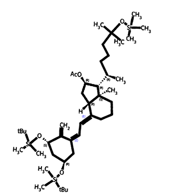 C=C1/C(=C\C=C2/CCC[C@]3(C)[C@@H]([C@H](C)CCCC(C)(C)O[Si](C)(C)C)[C@H](OC(C)=O)C[C@@H]23)C[C@@H](O[Si](C)(C)C(C)(C)C)C[C@@H]1O[Si](C)(C)C(C)(C)C